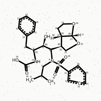 CC(C)CN(C([C@H](O)[C@H](Cc1ccccc1)NC(=O)O)[C@@H]1CO[C@H]2OCC[C@H]21)S(=O)(=O)c1ccccc1